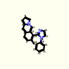 Cc1ccc2cc3cccn3cc2c1-c1nccn1-c1ccccc1